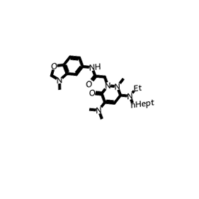 CCCCCCCN(CC)C1C=C(N(C)C)C(=O)N(CC(=O)Nc2ccc3c(c2)N(C)CO3)N1C